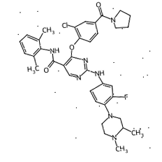 Cc1cccc(C)c1NC(=O)c1cnc(Nc2ccc(N3CCN(C)C(C)C3)c(F)c2)nc1Oc1ccc(C(=O)N2CCCC2)cc1Cl